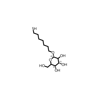 OCC1O[C@@H](OCCCCCCCS)C(O)[C@@H](O)[C@H]1O